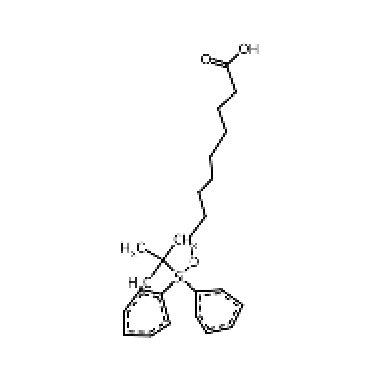 CC(C)(C)[Si](OCCCCCCCCC(=O)O)(c1ccccc1)c1ccccc1